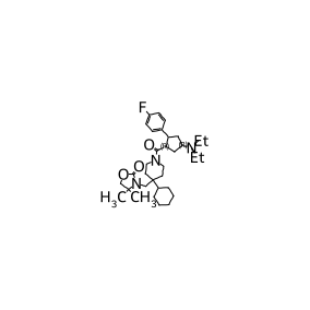 CCN(CC)[C@@H]1CC(c2ccc(F)cc2)[C@H](C(=O)N2CCC(CN3C(=O)OCC3(C)C)(C3CCCCC3)CC2)C1